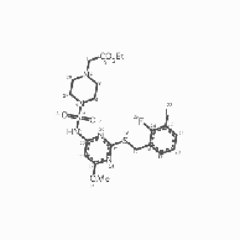 CCOC(=O)CN1CCN(S(=O)(=O)Nc2cc(OC)nc(SCc3cccc(F)c3F)n2)CC1